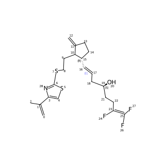 C=C(C)c1csc(SCCC2C(=C)CC[C@@H]2/C=C/C[C@@H](O)CCC(F)=C(F)F)n1